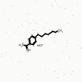 CCCCCCCc1ccc(C(=N)N)cc1.Cl